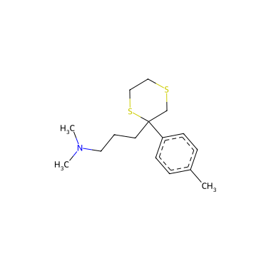 Cc1ccc(C2(CCCN(C)C)CSCCS2)cc1